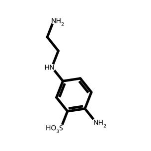 NCCNc1ccc(N)c(S(=O)(=O)O)c1